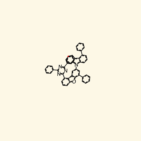 c1ccc(-c2nc(-c3ccccc3)nc(-c3cccc4oc5c(-c6ccccc6)cc(-n6c7ccccc7c7c(-c8ccccc8)cccc76)cc5c34)n2)cc1